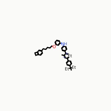 C=C(/C=C(C)\C(=C/CC)c1ccc(Nc2cccc(OCCCCCc3ccc4c(c3)CC4)c2)cc1)c1ccc(C(C)(CC)CC)cc1